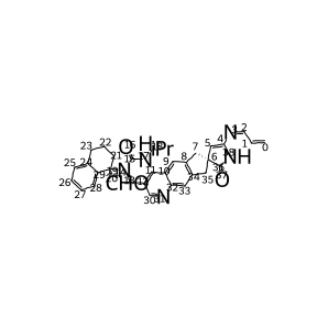 C=C/C=N\C1=C[C@@]2(Cc3cc4cc(CN(C(=O)NC(C)C)[C@@]5(C=O)CCCc6ccccc65)cnc4cc3C2)C(=O)N1